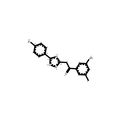 CCCc1cc(C)cc(C(=O)Cc2noc(-c3ccc(CC)cc3)n2)c1